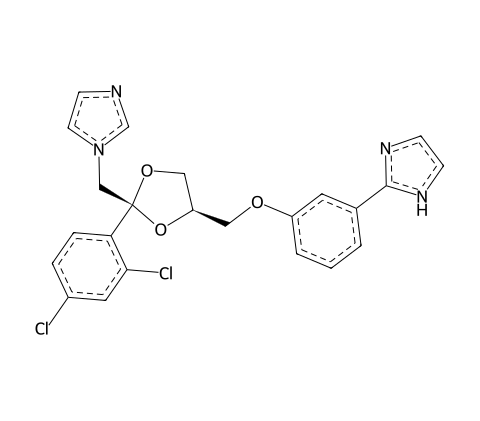 Clc1ccc([C@]2(Cn3ccnc3)OC[C@@H](COc3cccc(-c4ncc[nH]4)c3)O2)c(Cl)c1